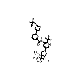 CO[C@@]1(C(C)(C)O)CCN(c2cnc(C(F)(F)F)c(NC(=O)c3cccc(-c4cnn(CC(F)(F)F)c4)n3)c2)C1